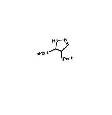 CCCCCC1C=NNC1CCCCC